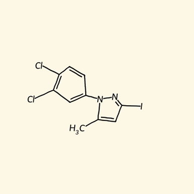 Cc1cc(I)nn1-c1ccc(Cl)c(Cl)c1